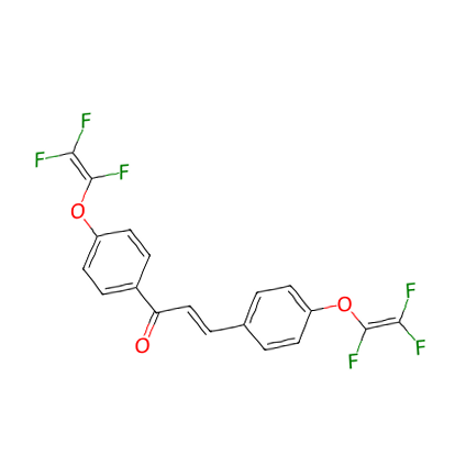 O=C(C=Cc1ccc(OC(F)=C(F)F)cc1)c1ccc(OC(F)=C(F)F)cc1